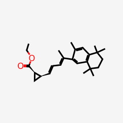 CCOC(=O)[C@@H]1C[C@@H]1/C=C/C=C(\C)c1cc2c(cc1C)C(C)(C)CCC2(C)C